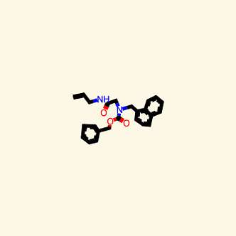 C=CCNC(=O)CN(Cc1cccc2ccccc12)C(=O)OCc1ccccc1